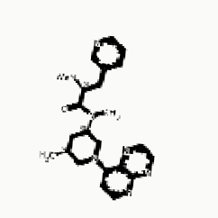 CN[C@@H](Cc1cccnc1)C(=O)N(C)[C@@H]1C[C@H](C)CN(c2ccnc3nccnc23)C1